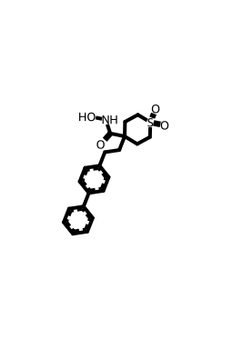 O=C(NO)C1(CCc2ccc(-c3ccccc3)cc2)CCS(=O)(=O)CC1